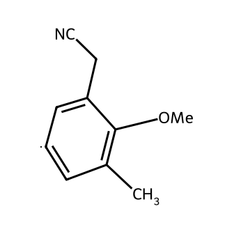 COc1c(C)c[c]cc1CC#N